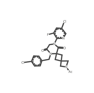 CC(=O)N1CC2(C1)CC1(C2)C(=O)N(c2ncc(Cl)cc2F)CC(=O)N1Cc1ccc(Cl)cc1